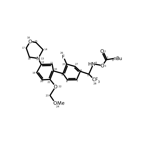 CCCCC(=O)ONC(c1ccc(-c2cc(N3CCOCC3)ccc2OCOC)c(F)c1)C(F)(F)F